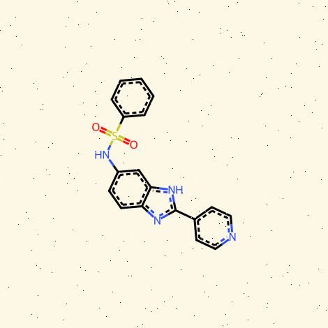 O=S(=O)(Nc1ccc2nc(-c3ccncc3)[nH]c2c1)c1ccccc1